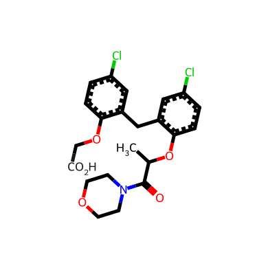 CC(Oc1ccc(Cl)cc1Cc1cc(Cl)ccc1OCC(=O)O)C(=O)N1CCOCC1